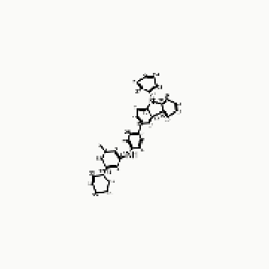 CC1C=C(Nc2ccc(-c3ccc4c(c3)c3ccccc3n4-c3ccccc3)cc2)C=C(C2C=CCCC2)C1